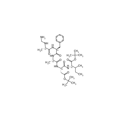 CCC(C)[C@H](NC(=O)[C@H](CC(=O)OC(C)(C)C)NC(=O)[C@H](C)NC(=O)[C@H](Cc1ccccc1)NC(=O)[C@H](C)NCN)C(=O)OC(C)(C)C